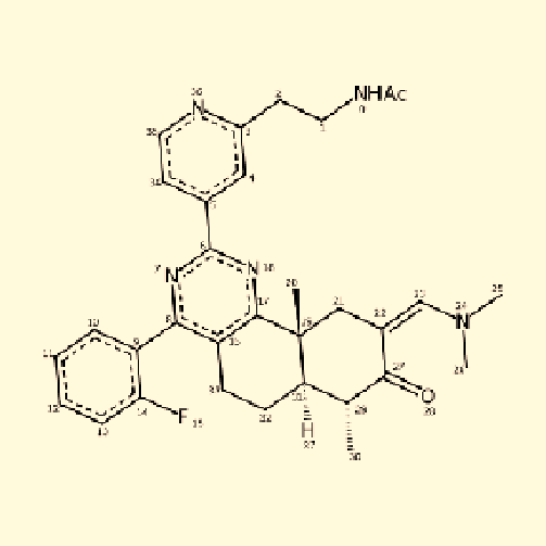 CC(=O)NCCc1cc(-c2nc(-c3ccccc3F)c3c(n2)[C@]2(C)C/C(=C/N(C)C)C(=O)[C@H](C)[C@H]2CC3)ccn1